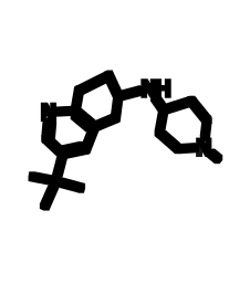 CN1CCC(NC2CCc3ncc(C(C)(C)C)cc3C2)CC1